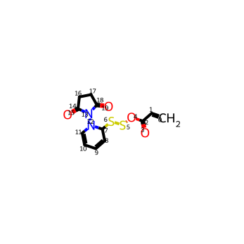 C=CC(=O)OSSC1C=CC=CN1N1C(=O)CCC1=O